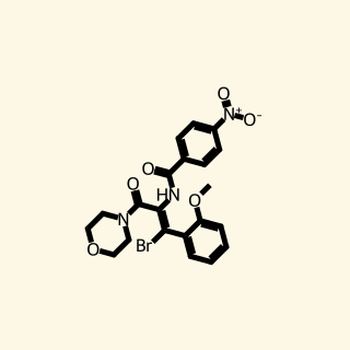 COc1ccccc1C(Br)=C(NC(=O)c1ccc([N+](=O)[O-])cc1)C(=O)N1CCOCC1